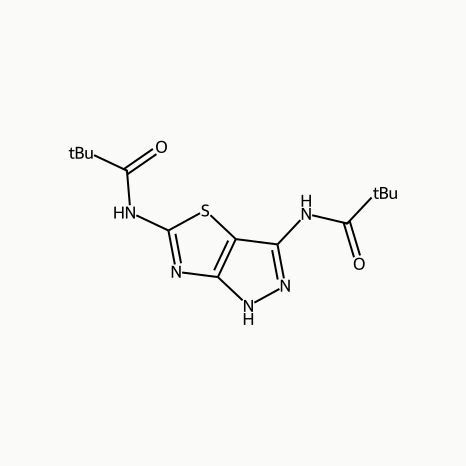 CC(C)(C)C(=O)Nc1nc2[nH]nc(NC(=O)C(C)(C)C)c2s1